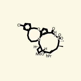 CCC[C@@]1(OC)/C=C/C[C@H](C)[C@@H](C)S(=O)(=O)NC(=O)c2ccc3c(c2)N(CCCCc2cc(Cl)ccc2CO3)C[C@@H]2CC[C@H]21